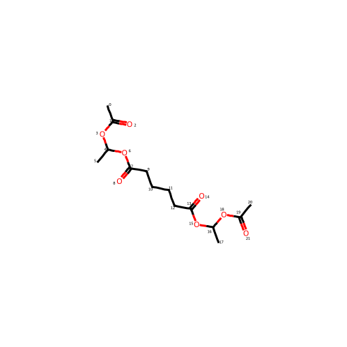 CC(=O)OC(C)OC(=O)CCCCC(=O)OC(C)OC(C)=O